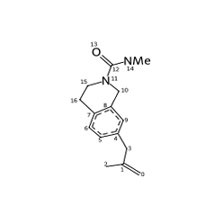 C=C(C)Cc1ccc2c(c1)CN(C(=O)NC)CC2